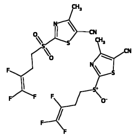 Cc1nc(S(=O)(=O)CCC(F)=C(F)F)sc1C#N.Cc1nc([S+]([O-])CCC(F)=C(F)F)sc1C#N